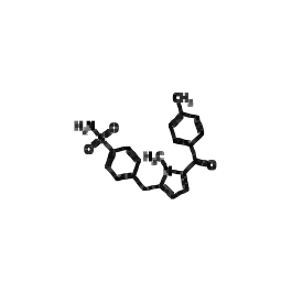 Cc1ccc(C(=O)c2ccc(Cc3ccc(S(N)(=O)=O)cc3)n2C)cc1